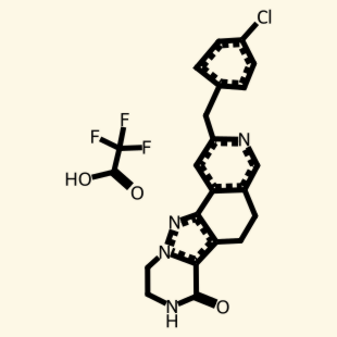 O=C(O)C(F)(F)F.O=C1NCCn2nc3c(c21)CCc1cnc(Cc2ccc(Cl)cc2)cc1-3